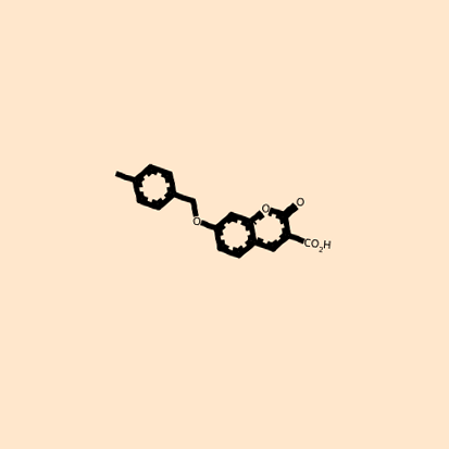 Cc1ccc(COc2ccc3cc(C(=O)O)c(=O)oc3c2)cc1